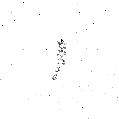 N#CC=CC=CCC[C@H]1CC[C@H]([C@H]2CC[C@H](c3ccc(F)c(F)c3)CC2)CC1